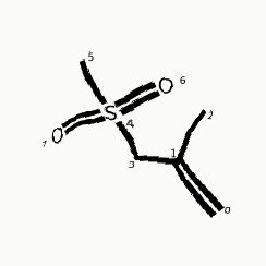 C=C(C)CS(C)(=O)=O